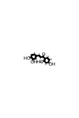 O=C(/C=C/c1ccc(O)c(O)c1)C1=C(O)CC(O)C=C1